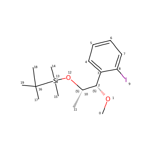 CO[C@@H](c1ccccc1I)[C@H](C)O[Si](C)(C)C(C)(C)C